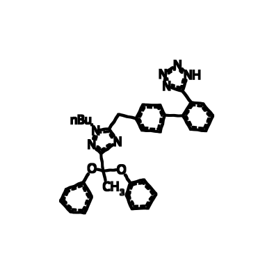 CCCCn1nc(C(C)(Oc2ccccc2)Oc2ccccc2)nc1Cc1ccc(-c2ccccc2-c2nnn[nH]2)cc1